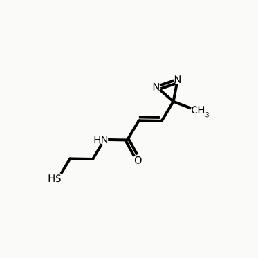 CC1(C=CC(=O)NCCS)N=N1